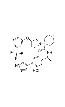 C[C@H](NC(=O)C1(N2CC[C@@H](Oc3cccc(C(F)(F)F)c3)C2)CCOCC1)c1ccc(-c2cn[nH]c2)cc1.Cl